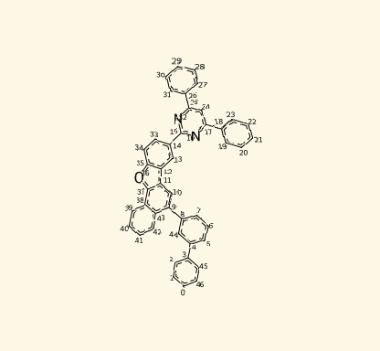 c1ccc(-c2cccc(-c3cc4c5cc(-c6nc(-c7ccccc7)cc(-c7ccccc7)n6)ccc5oc4c4ccccc34)c2)cc1